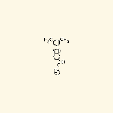 Cc1cc(C)cc(-c2nc3ccc(C(=O)OCC4CCCO4)cc3o2)c1